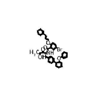 CC(O)C(=O)[C@H](Cc1ccc(-c2ccccc2Oc2ccccc2)cc1)NC(=O)c1cc(Br)ccc1OC/C=C/c1ccccc1